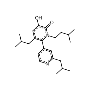 CC(C)CCn1c(-c2ccnc(CC(C)C)c2)c(CC(C)C)cc(O)c1=O